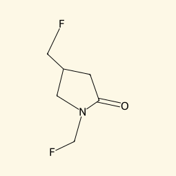 O=C1CC(CF)CN1CF